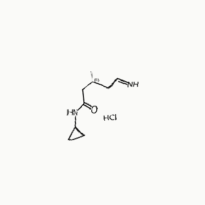 C[C@H](CC=N)CC(=O)NC1CC1.Cl